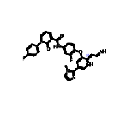 Cn1ccnc1C1=CN/C(=C\C=N)C(Oc2ccc(NC(=O)c3cccn(-c4ccc(F)cc4)c3=O)cc2F)=C1